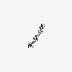 CCc1ccc([C@H]2CC[C@H](CCCC[C@H]3CC[C@H](CCC=CC=C(F)C#N)CC3)CC2)cc1